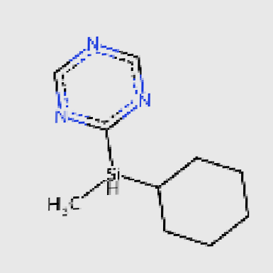 C[SiH](c1ncncn1)C1CCCCC1